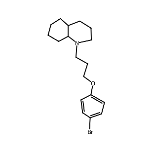 Brc1ccc(OCCCN2CCCC3CCCCC32)cc1